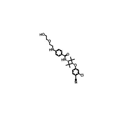 CC1(C)[C@H](NC(=O)c2ccc(NCCOCCO)cc2)C(C)(C)[C@H]1Oc1ccc(C#N)c(Cl)c1